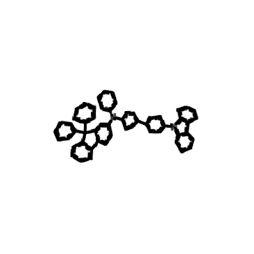 c1ccc(N(c2ccc(-c3ccc(-n4c5ccccc5c5ccccc54)cc3)cc2)c2ccc3c(c2)C(c2ccccc2)(c2ccccc2)c2ccccc2-3)cc1